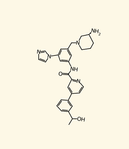 CC(O)c1cccc(-c2ccnc(C(=O)Nc3cc(CN4CCC[C@H](N)C4)cc(-n4ccnc4)c3)c2)c1